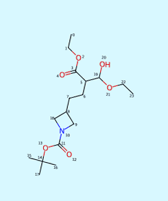 CCOC(=O)C(CCC1CN(C(=O)OC(C)(C)C)C1)C(O)OCC